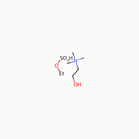 CCOS(=O)(=O)O.C[N+](C)(C)CCO